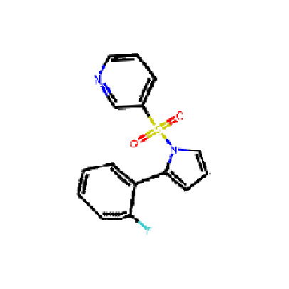 O=S(=O)(c1cccnc1)n1c[c]cc1-c1ccccc1F